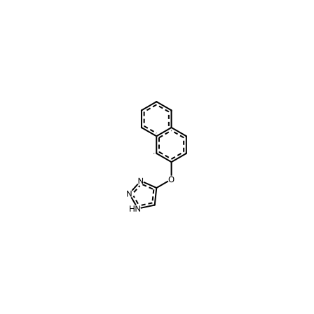 [c]1c(Oc2c[nH]nn2)ccc2ccccc12